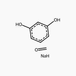 C=O.Oc1cccc(O)c1.[NaH]